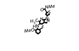 CNC(=O)c1cc(-n2ncc3cc(Nc4c(F)cccc4OC)c(C)nc32)cs1